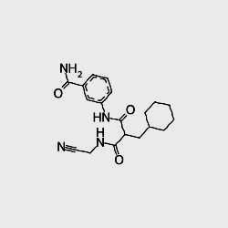 N#CCNC(=O)C(CC1CCCCC1)C(=O)Nc1cccc(C(N)=O)c1